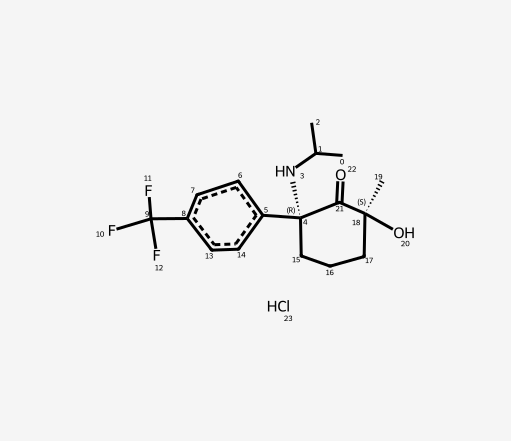 CC(C)N[C@@]1(c2ccc(C(F)(F)F)cc2)CCC[C@](C)(O)C1=O.Cl